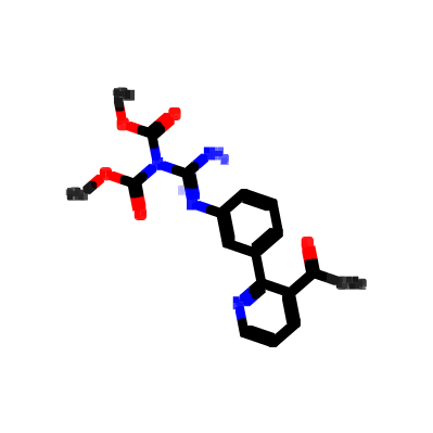 COC(=O)c1cccnc1-c1cccc(/N=C(\N)N(C(=O)OC(C)(C)C)C(=O)OC(C)(C)C)c1